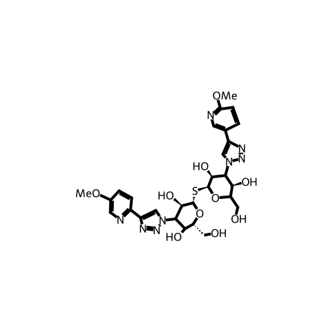 COc1ccc(-c2cn(C3C(O)[C@@H](CO)O[C@@H](S[C@@H]4OC(CO)[C@H](O)C(n5cc(-c6ccc(OC)nc6)nn5)[C@@H]4O)[C@@H]3O)nn2)nc1